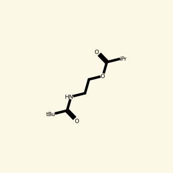 CC(C)C(=O)OCCNC(=O)C(C)(C)C